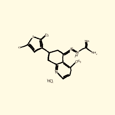 Cc1ccnc2c1/C(=N\NC(=N)N)CC(c1cc(Cl)sc1Cl)C2.Cl